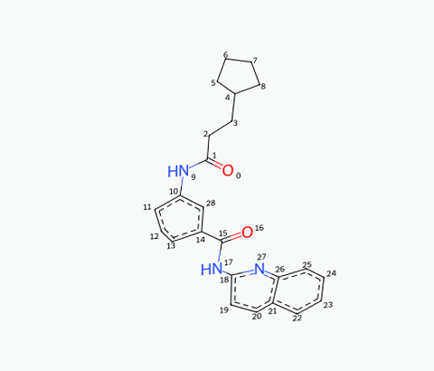 O=C(CCC1CCCC1)Nc1cccc(C(=O)Nc2ccc3ccccc3n2)c1